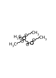 CCCCCOc1cccc(C(=O)CCc2cc(OCCCCC)cc(OC)c2OCCCCC)c1